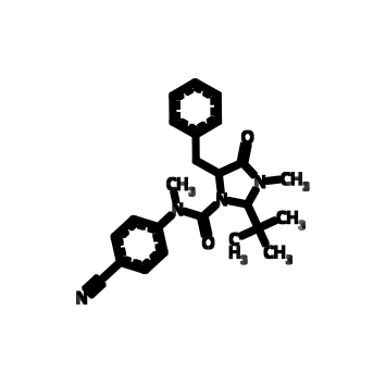 CN(C(=O)N1C(Cc2ccccc2)C(=O)N(C)C1C(C)(C)C)c1ccc(C#N)cc1